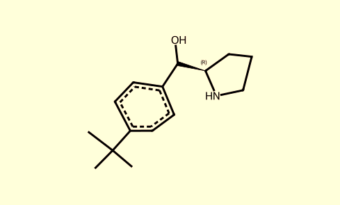 CC(C)(C)c1ccc(C(O)[C@H]2CCCN2)cc1